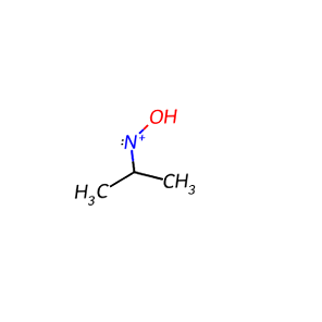 CC(C)[N+]O